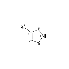 BrC1=CCN[CH]1